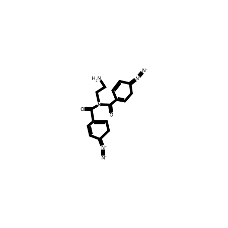 [N-]=[N+]=C1C=CC(C(=O)N(CCN)C(=O)C2=CCC(=[N+]=[N-])C=C2)=CC1